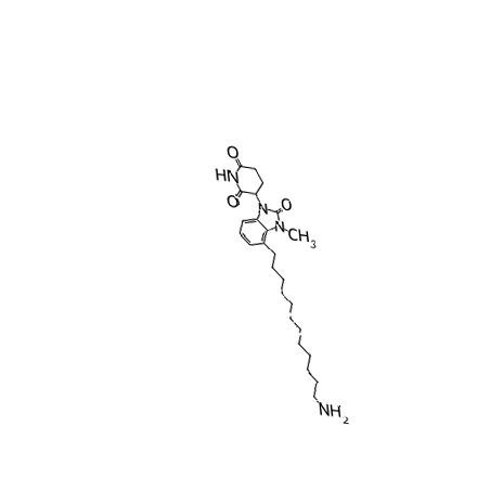 Cn1c(=O)n(C2CCC(=O)NC2=O)c2cccc(CCCCCCCCCCCCN)c21